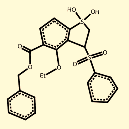 CCOc1c(C(=O)OCc2ccccc2)ccc2c1C(S(=O)(=O)c1ccccc1)CS2(O)O